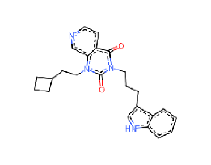 O=c1c2ccncc2n(CCC2CCC2)c(=O)n1CCCc1c[nH]c2ccccc12